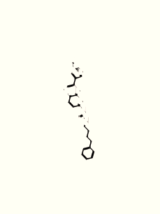 CCn1cc(-c2cnc3ccc(NC(=O)NCCCCc4ccccc4)nc3n2)cn1